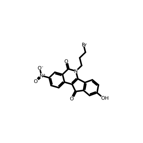 O=C1c2cc(O)ccc2-c2c1c1ccc([N+](=O)[O-])cc1c(=O)n2CCCBr